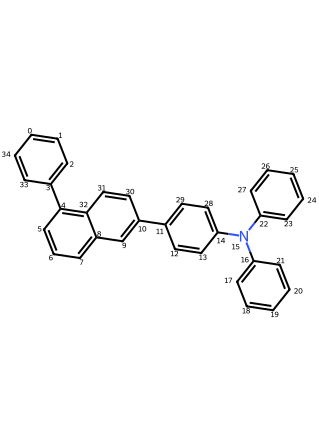 c1ccc(-c2cccc3cc(-c4ccc(N(c5ccccc5)c5ccccc5)cc4)ccc23)cc1